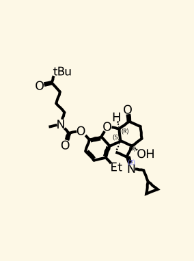 CCc1ccc(OC(=O)N(C)CCCC(=O)C(C)(C)C)c2c1[C@]13C/C(=N/CC4CC4)[C@]1(O)CCC(=O)[C@@H]3O2